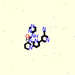 N#Cc1cncc(-c2ccc3c(n2)N(C(=O)Nc2ccncn2)[C@H]2CCCN3C2)c1